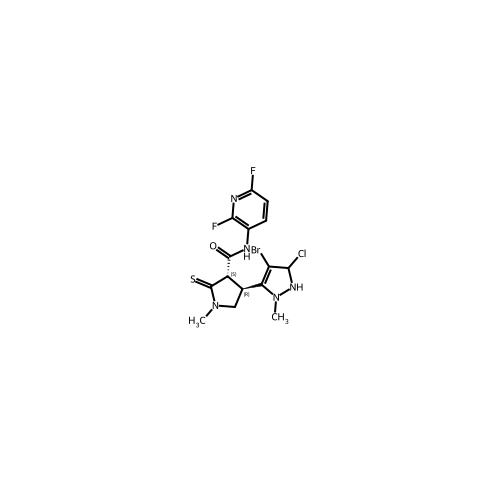 CN1C[C@H](C2=C(Br)C(Cl)NN2C)[C@@H](C(=O)Nc2ccc(F)nc2F)C1=S